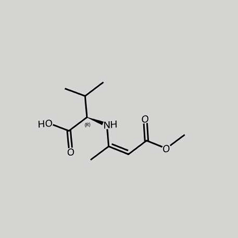 COC(=O)C=C(C)N[C@@H](C(=O)O)C(C)C